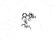 CC/C(N)=N\OCc1c(I)cccc1-n1nn[nH]c1=O